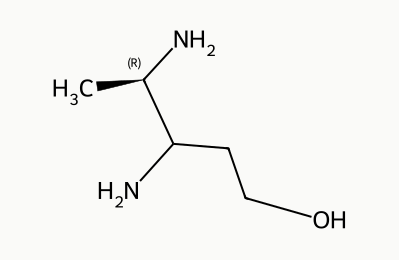 C[C@@H](N)C(N)CCO